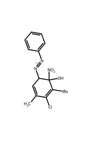 CC1=CC(/N=N/c2ccccc2)C(O)([N+](=O)[O-])C(C(C)(C)C)=C1Cl